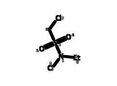 CCN(Cl)S(=O)(=O)CCl